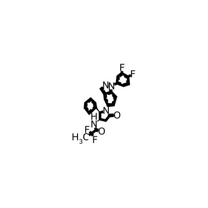 CC(F)(F)C(=O)N[C@H]1CC(=O)N(c2ccc3c(cnn3-c3ccc(F)c(F)c3)c2)[C@@H]1c1ccccc1